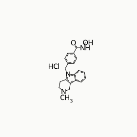 CN1CCc2c(c3ccccc3n2Cc2ccc(C(=O)NO)cc2)C1.Cl